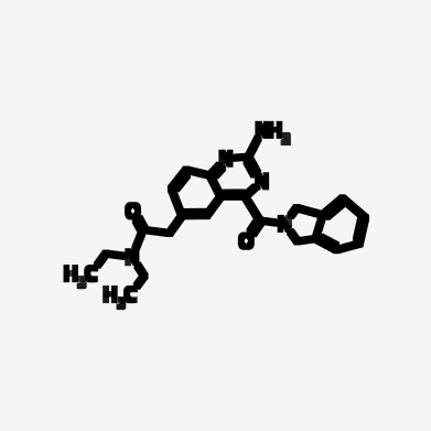 CCN(CC)C(=O)Cc1ccc2nc(N)nc(C(=O)N3Cc4ccccc4C3)c2c1